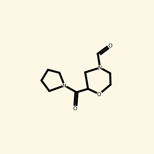 O=[C]N1CCOC(C(=O)N2CCCC2)C1